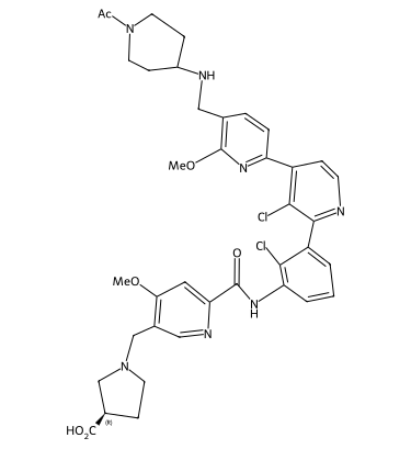 COc1cc(C(=O)Nc2cccc(-c3nccc(-c4ccc(CNC5CCN(C(C)=O)CC5)c(OC)n4)c3Cl)c2Cl)ncc1CN1CC[C@@H](C(=O)O)C1